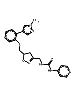 Cn1cc(-c2ccccc2OCC2CC(CNC(=O)Nc3ccncc3)=NO2)cn1